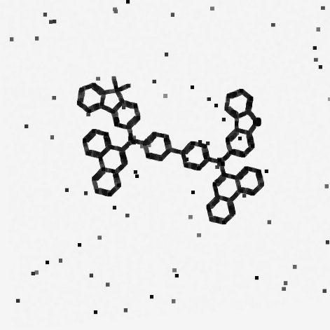 CC1(C)c2ccccc2-c2cc(N(c3ccc(-c4ccc(N(c5ccc6oc7ccccc7c6c5)c5cc6ccccc6c6ccccc56)cc4)cc3)c3cc4ccccc4c4ccccc34)ccc21